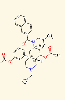 CC(=O)Oc1cccc([C@@]23CCN(CC4CC4)C[C@H]2C(OC(C)=O)C[C@@H](N(CC(C)C)C(=O)c2ccc4ccccc4c2)C3)c1